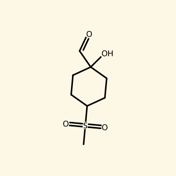 CS(=O)(=O)C1CCC(O)(C=O)CC1